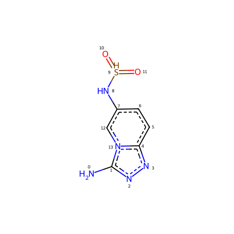 Nc1nnc2ccc(N[SH](=O)=O)cn12